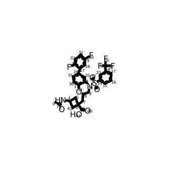 CC(=O)NC1CC(CC2CN(S(=O)(=O)c3cccc(C(F)(F)F)c3)c3cc(-c4cc(F)ccc4F)ccc3O2)(C(=O)O)C1